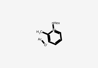 CC(=O)[O-].CCCCCC[n+]1ccccc1C